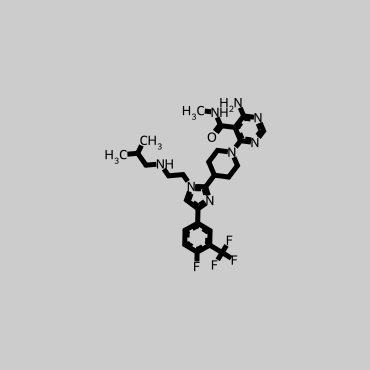 CNC(=O)c1c(N)ncnc1N1CCC(c2nc(-c3ccc(F)c(C(F)(F)F)c3)cn2CCNCC(C)C)CC1